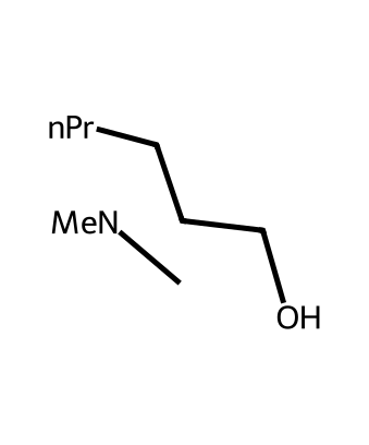 CCCCCCO.CNC